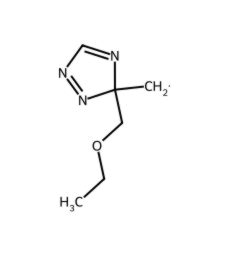 [CH2]C1(COCC)N=CN=N1